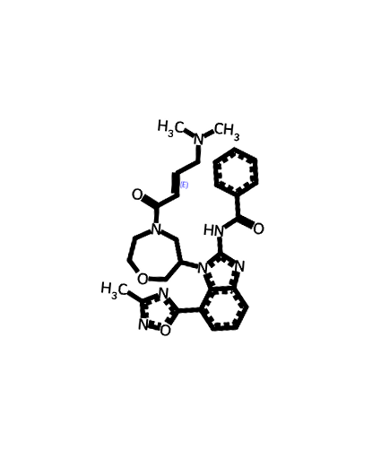 Cc1noc(-c2cccc3nc(NC(=O)c4ccccc4)n(C4COCCN(C(=O)/C=C/CN(C)C)C4)c23)n1